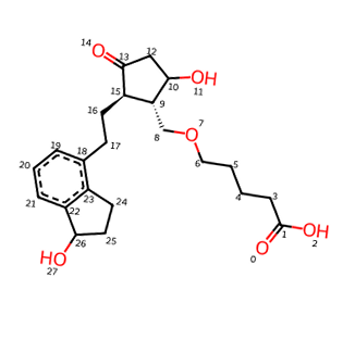 O=C(O)CCCCOC[C@H]1C(O)CC(=O)[C@@H]1CCc1cccc2c1CCC2O